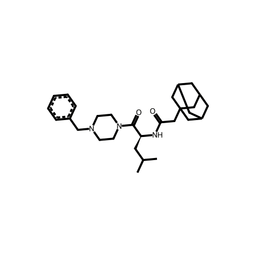 CC(C)C[C@H](NC(=O)CC12CC3CC(CC(C3)C1)C2)C(=O)N1CCN(Cc2ccccc2)CC1